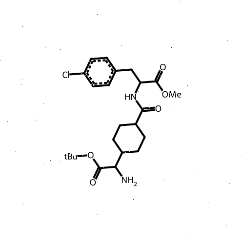 COC(=O)C(Cc1ccc(Cl)cc1)NC(=O)C1CCC(C(N)C(=O)OC(C)(C)C)CC1